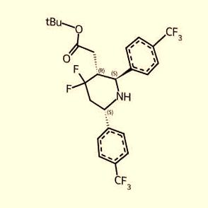 CC(C)(C)OC(=O)C[C@@H]1[C@@H](c2ccc(C(F)(F)F)cc2)N[C@H](c2ccc(C(F)(F)F)cc2)CC1(F)F